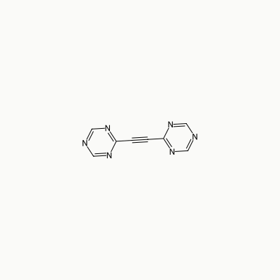 C(#Cc1ncncn1)c1ncncn1